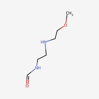 COCCNCCNC=O